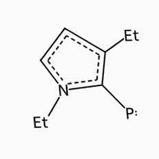 CCc1ccn(CC)c1[P]